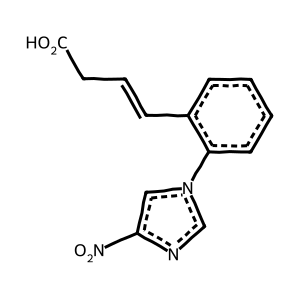 O=C(O)C/C=C/c1ccccc1-n1cnc([N+](=O)[O-])c1